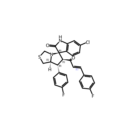 O=C(/C=C/c1ccc(F)cc1)[C@H]1[C@H](c2ccc(F)cc2)[C@H]2CSCN2[C@]12C(=O)Nc1cc(Cl)ccc12